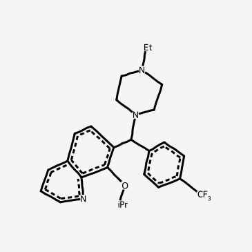 CCN1CCN(C(c2ccc(C(F)(F)F)cc2)c2ccc3cccnc3c2OC(C)C)CC1